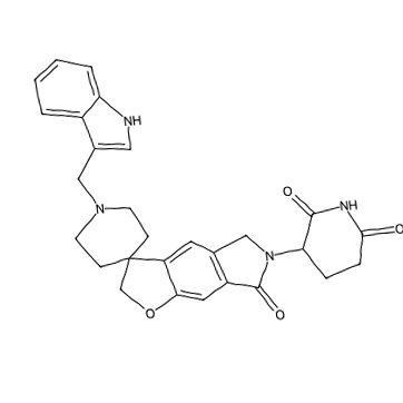 O=C1CCC(N2Cc3cc4c(cc3C2=O)OCC42CCN(Cc3c[nH]c4ccccc34)CC2)C(=O)N1